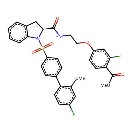 COC(=O)c1ccc(OCCNC(=O)[C@@H]2Cc3ccccc3N2S(=O)(=O)c2ccc(-c3ccc(F)cc3OC)cc2)cc1F